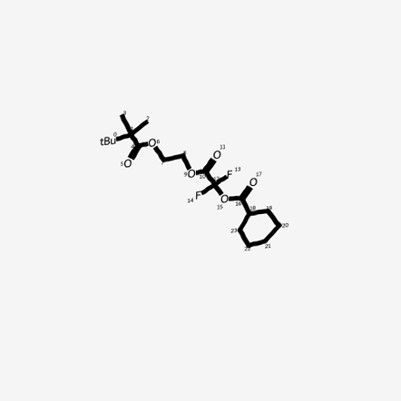 CC(C)(C)C(C)(C)C(=O)OCCOC(=O)C(F)(F)OC(=O)C1CCCCC1